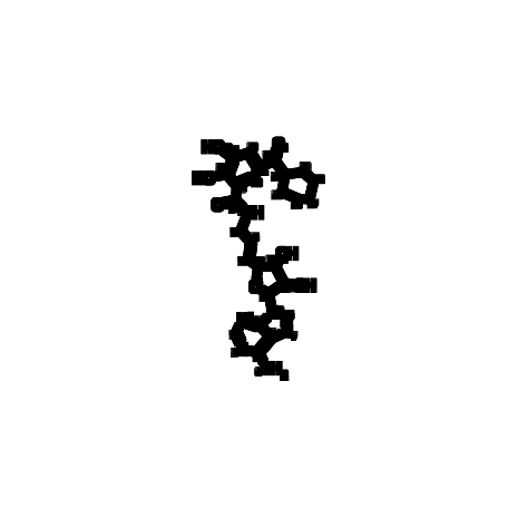 Nc1ncnc2c1ncn2C1OC(C=CCNC(=O)c2cc(C(=O)C3CCCCC3)cc(O)c2O)C(O)C1O